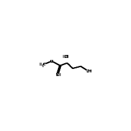 COC(=N)CCCO.Cl